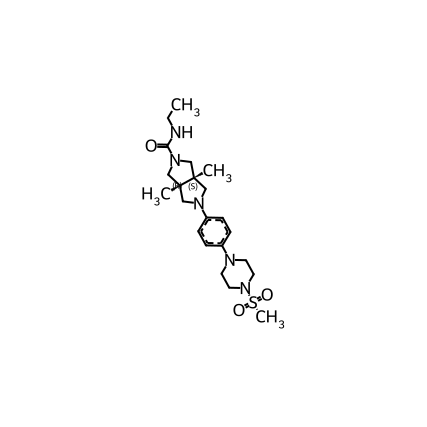 CCNC(=O)N1C[C@@]2(C)CN(c3ccc(N4CCN(S(C)(=O)=O)CC4)cc3)C[C@@]2(C)C1